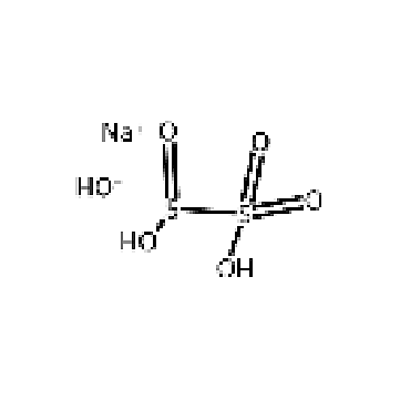 O=S(O)S(=O)(=O)O.[Na+].[OH-]